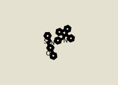 c1ccc2c(c1)nc(-c1ccc(-n3c4cc5c(cc4c4sc6ccccc6c43)oc3ccccc35)cc1)c1c3ccccc3c3ccccc3c21